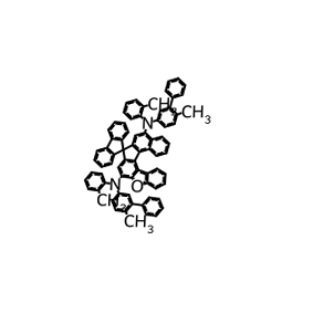 Cc1ccc(N(c2ccccc2C)c2cc3c(c4ccccc24)-c2c(cc(N(c4ccc(C)c(-c5ccccc5)c4)c4ccccc4C)c4oc5ccccc5c24)C32c3ccccc3-c3ccccc32)cc1-c1ccccc1